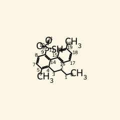 CCCCc1c(C)ccc(S(=O)(=O)S)c1-c1cccc(C)c1